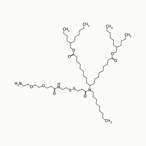 CCCCCCCCCN(C(=O)CCSSCCNC(=O)CCOCCOCCN)C(CCCCCCCCC(=O)OCC(CCCC)CCCCCC)CCCCCCCCC(=O)OCC(CCCC)CCCCCC